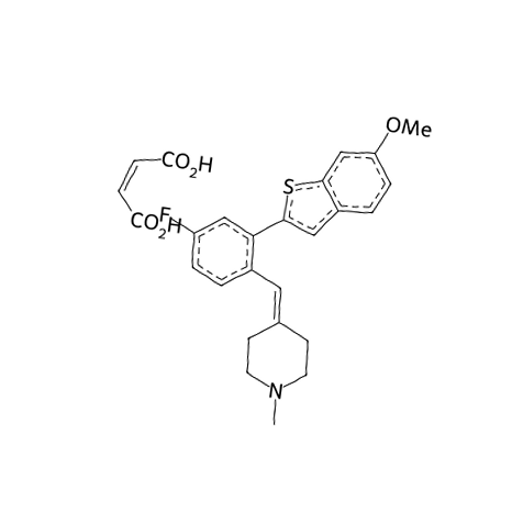 COc1ccc2cc(-c3cc(F)ccc3C=C3CCN(C)CC3)sc2c1.O=C(O)/C=C\C(=O)O